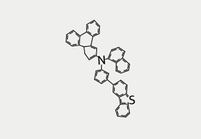 C1=C2c3ccccc3-c3ccccc3C2CC=C1N(c1cccc(-c2ccc3sc4ccccc4c3c2)c1)c1cccc2ccccc12